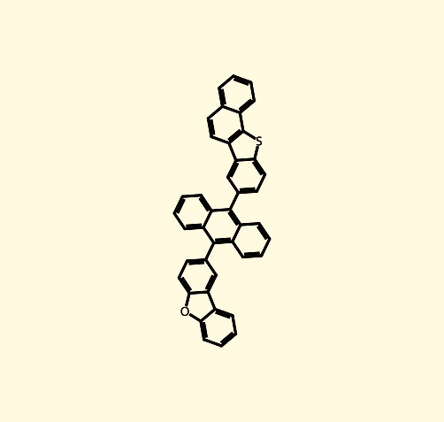 c1ccc2c(c1)ccc1c3cc(-c4c5ccccc5c(-c5ccc6oc7ccccc7c6c5)c5ccccc45)ccc3sc21